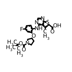 Cc1c(C(=O)O)sc2ncnc(Nc3ccc(F)cc3OC3CCN(C(=O)OC(C)(C)C)C3)c12